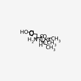 CCOC(=O)[C@@H](CC(C)C)NC(=O)[C@@H](N)Cc1ccc(O)cc1